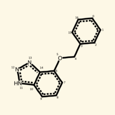 c1ccc(COc2cccc3[nH]nnc23)cc1